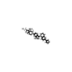 C[C@@H]1OCC2(CCN(c3cnc4c(N5CCCc6nc(-c7cnoc7)ccc65)n[nH]c4n3)CC2)[C@@H]1N